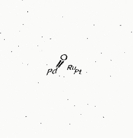 [O]=[Pd].[Pt].[Ru]